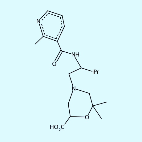 Cc1ncccc1C(=O)NC(CN1CC(C(=O)O)OC(C)(C)C1)C(C)C